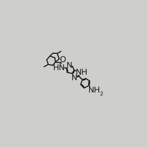 CC1CC2CC(C)CC(C(=O)Nc3cc4nc(-c5ccc(N)cc5)[nH]c4cn3)(C1)C2